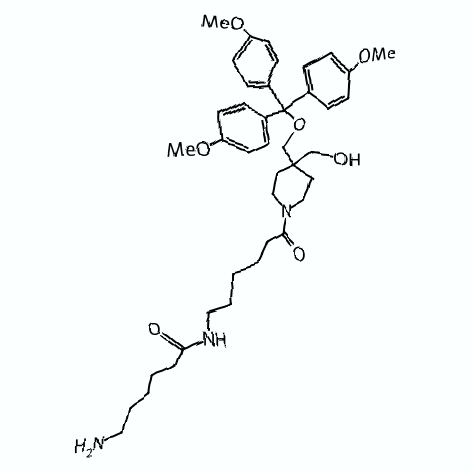 COc1ccc(C(OCC2(CO)CCN(C(=O)CCCCCNC(=O)CCCCCN)CC2)(c2ccc(OC)cc2)c2ccc(OC)cc2)cc1